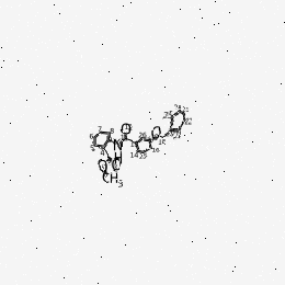 COC(=O)c1ccccc1NC(=O)c1cccc(OCc2ccccc2)c1